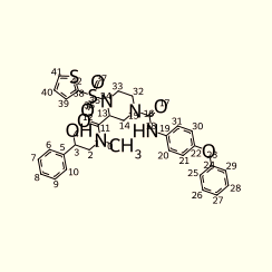 CN(CC(O)c1ccccc1)C(=O)C1CN(C(=O)Nc2ccc(Oc3ccccc3)cc2)CCN1S(=O)(=O)c1cccs1